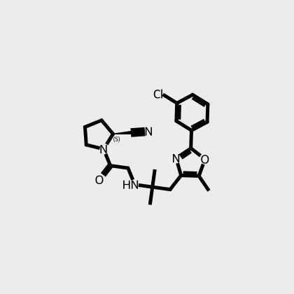 Cc1oc(-c2cccc(Cl)c2)nc1CC(C)(C)NCC(=O)N1CCC[C@H]1C#N